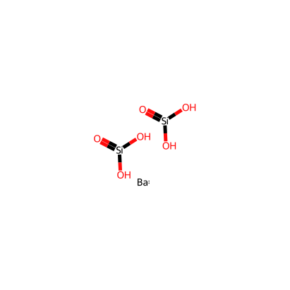 O=[Si](O)O.O=[Si](O)O.[Ba]